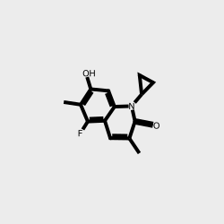 Cc1c(O)cc2c(cc(C)c(=O)n2C2CC2)c1F